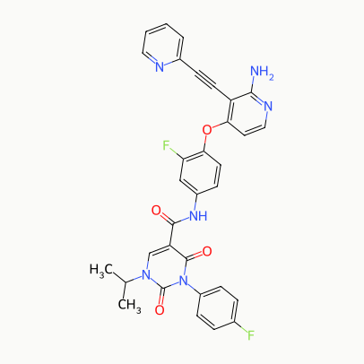 CC(C)n1cc(C(=O)Nc2ccc(Oc3ccnc(N)c3C#Cc3ccccn3)c(F)c2)c(=O)n(-c2ccc(F)cc2)c1=O